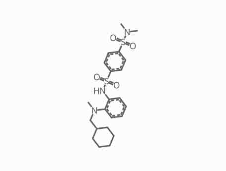 CN(CC1CCCCC1)c1ccccc1NS(=O)(=O)c1ccc(S(=O)(=O)N(C)C)cc1